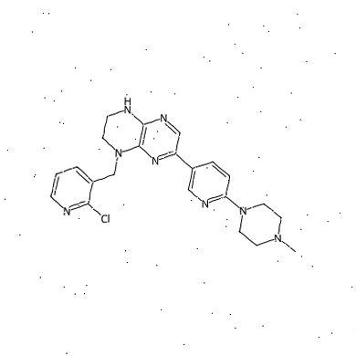 CN1CCN(c2ccc(-c3cnc4c(n3)N(Cc3cccnc3Cl)CCN4)cn2)CC1